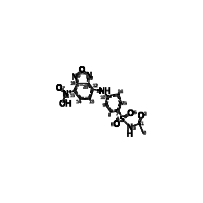 CC(=O)NS(=O)(=O)c1ccc(Nc2ccc([N+](=O)O)c3nonc23)cc1